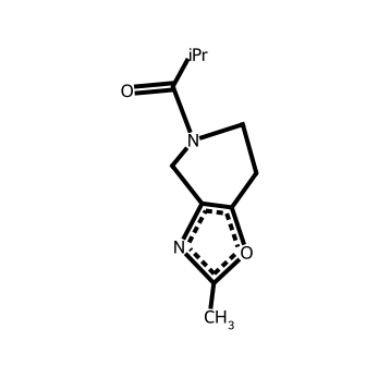 Cc1nc2c(o1)CCN(C(=O)C(C)C)C2